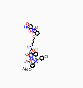 COc1ccc(C2=N[C@@H](c3ccc(Cl)cc3)[C@@H](c3ccc(Cl)cc3)N2C(=O)N2CCN(CC(=O)NCCCCCOc3cccc4c3C(=O)N(C3CCC(=O)NC3=O)C4=O)C(=O)C2)c(OC(C)C)c1